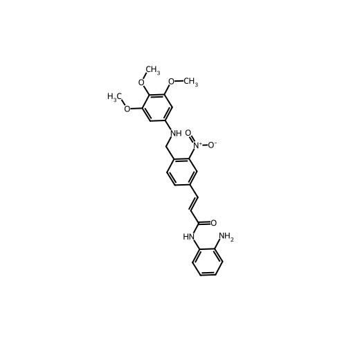 COc1cc(NCc2ccc(C=CC(=O)Nc3ccccc3N)cc2[N+](=O)[O-])cc(OC)c1OC